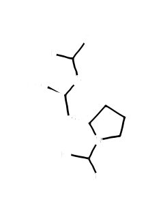 CCCC(CC)N1CCC[C@H]1C[C@H](OC(F)F)C(=O)O